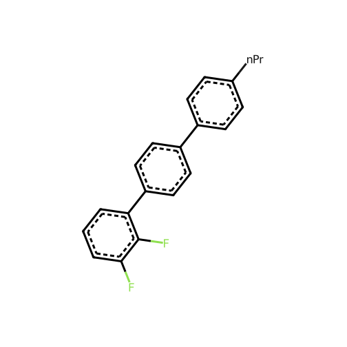 CCCc1ccc(-c2ccc(-c3cccc(F)c3F)cc2)cc1